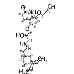 C#CCOc1ccc(OCC(O)CNCCc2ccc(OC)c(OC)c2)c2c1NC(=O)CC2